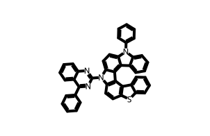 c1ccc(-c2nc(-n3c4ccc5sc6ccccc6c5c4c4c5c6ccccc6n(-c6ccccc6)c5ccc43)nc3ccccc23)cc1